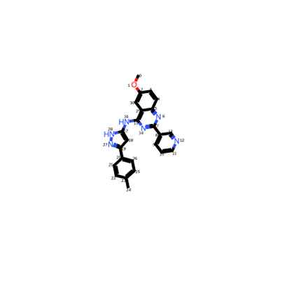 COc1ccc2nc(-c3cccnc3)nc(Nc3cc(-c4ccc(C)cc4)n[nH]3)c2c1